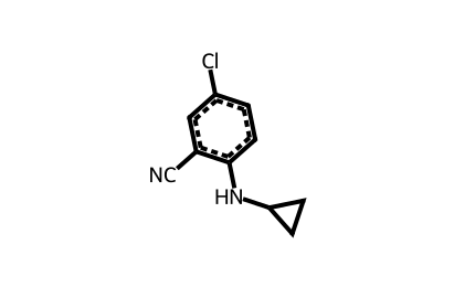 N#Cc1cc(Cl)ccc1NC1CC1